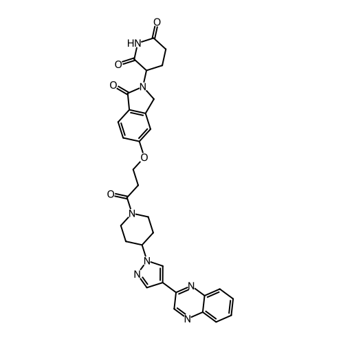 O=C1CCC(N2Cc3cc(OCCC(=O)N4CCC(n5cc(-c6cnc7ccccc7n6)cn5)CC4)ccc3C2=O)C(=O)N1